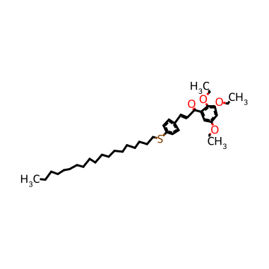 CCCCCCCCCCCCCCCCCCCSc1ccc(/C=C/C(=O)c2cc(OCC)cc(OCC)c2OCC)cc1